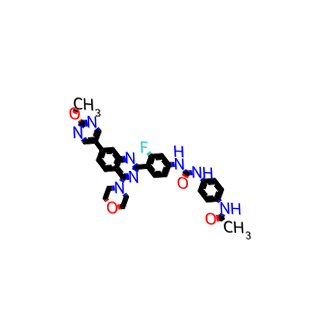 COc1ncc(-c2ccc3c(N4CCOCC4)nc(-c4ccc(NC(=O)Nc5ccc(NC(C)=O)cc5)cc4F)nc3c2)cn1